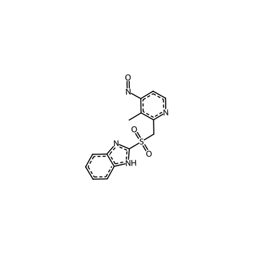 Cc1c(N=O)ccnc1CS(=O)(=O)c1nc2ccccc2[nH]1